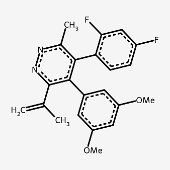 C=C(C)c1nnc(C)c(-c2ccc(F)cc2F)c1-c1cc(OC)cc(OC)c1